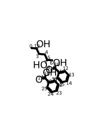 CC(O)CCC(C)O.O=C(O)c1ccccc1.O=C(O)c1ccccc1